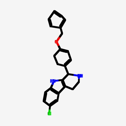 Clc1ccc2[nH]c3c(c2c1)CCNC3C1=CC=C(OCc2ccccc2)CC1